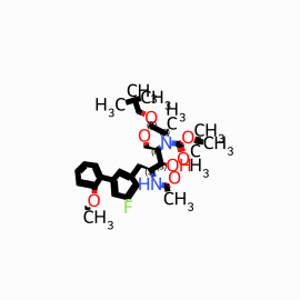 CCOc1ccccc1-c1cc(F)cc(C[C@H](NC(C)=O)[C@H](O)[C@H]2CO[C@@H](OCC(C)(C)C)[C@H](C)N2C(=O)OC(C)(C)C)c1